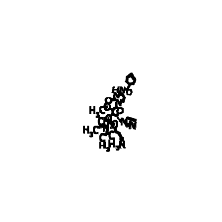 CO[C@@H]1[C@H](OP(OCCC#N)N(C(C)C)C(C)C)[C@@H](Cn2ccnc2)O[C@H]1n1ccc(NC(=O)c2ccccc2)nc1=O